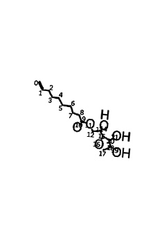 C=CCCCCCCCC(=O)OCC(O)C1OCC(O)C1O